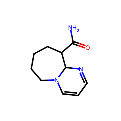 NC(=O)C1CCCCN2C=CC=NC12